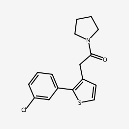 O=C(Cc1ccsc1-c1cccc(Cl)c1)N1CCCC1